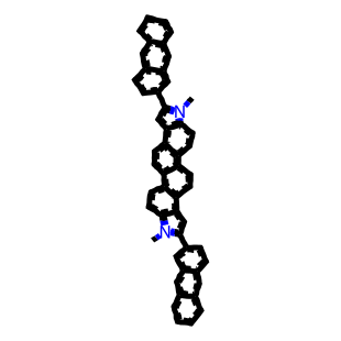 Cn1c(-c2ccc3cc4ccccc4cc3c2)cc2c3ccc4c(ccc5c4ccc4c5cc(-c5ccc6cc7ccccc7cc6c5)n4C)c3ccc21